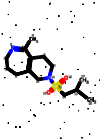 CC1=NCCCC2=C1CCN(S(=O)(=O)CC(C)C)C2